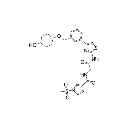 CS(=O)(=O)n1ccc(C(=O)NCC(=O)Nc2nc(-c3cccc(COC4CCC(O)CC4)c3)cs2)c1